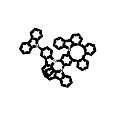 c1ccc2c(c1)c1ccccc1c1cccc3c4ccccc4n(c4cc(-n5c6ccccc6c6cc(-n7c8ccccc8c8ccccc87)ccc65)c(-n5c6ccccc6c6ccccc65)cc24)c13